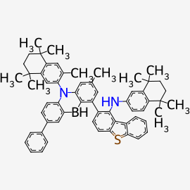 Cc1cc(-c2ccc3sc4ccccc4c3c2Nc2ccc3c(c2)C(C)(C)CCC3(C)C)c2c(c1)N(c1cc3c(cc1C)C(C)(C)CCC3(C)C)c1ccc(-c3ccccc3)cc1B2